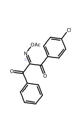 CC(=O)O/N=C(/C(=O)c1ccccc1)C(=O)c1ccc(Cl)cc1